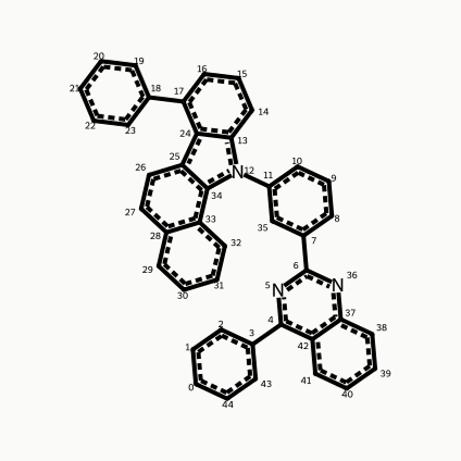 c1ccc(-c2nc(-c3cccc(-n4c5cccc(-c6ccccc6)c5c5ccc6ccccc6c54)c3)nc3ccccc23)cc1